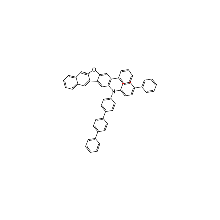 c1ccc(-c2ccc(-c3ccc(N(c4ccc(-c5ccccc5)cc4)c4cc5c(cc4-c4ccccc4)oc4cc6ccccc6cc45)cc3)cc2)cc1